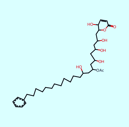 CC(=O)OC(CC(O)CCCCCCCCCCCCc1ccccc1)CC(O)CC(O)CC(O)CC1OC(=O)C=CC1O